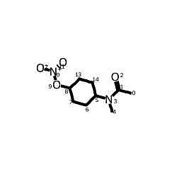 CC(=O)N(C)C1CCC(O[N+](=O)[O-])CC1